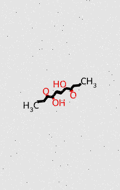 CCCC(=O)C(O)C=CC(O)C(=O)CCC